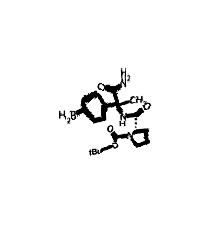 Bc1ccc(C(C)(NC(=O)[C@@H]2CCCN2C(=O)OC(C)(C)C)C(N)=O)cc1